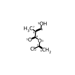 C=C(Cl)OC(=O)C(C)=CO